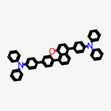 c1ccc(N(c2ccccc2)c2ccc(-c3ccc4c(c3)Oc3ccc(-c5ccc(N(c6ccccc6)c6ccccc6)cc5)c5cccc-4c35)cc2)cc1